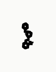 Brc1ccccc1CC[C@@H]1C=CCN(Cc2ccccc2)C1